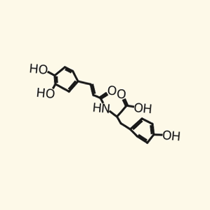 O=C(/C=C/c1ccc(O)c(O)c1)NC(Cc1ccc(O)cc1)C(=O)O